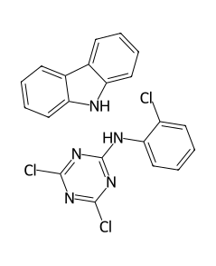 Clc1nc(Cl)nc(Nc2ccccc2Cl)n1.c1ccc2c(c1)[nH]c1ccccc12